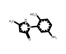 Cc1cc(=O)n(-c2cc(N)ccc2S(=O)(=O)O)[nH]1